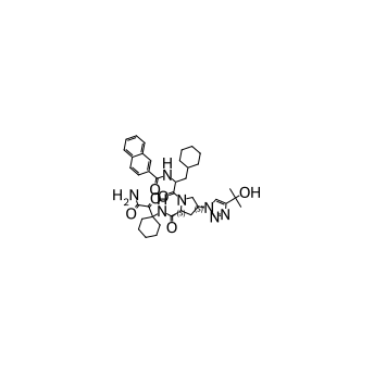 CC(C)(O)c1cn([C@H]2C[C@@H](C(=O)NC3(C(=O)C(N)=O)CCCCC3)N(C(=O)C(CC3CCCCC3)NC(=O)c3ccc4ccccc4c3)C2)nn1